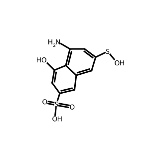 Nc1cc(SO)cc2cc(S(=O)(=O)O)cc(O)c12